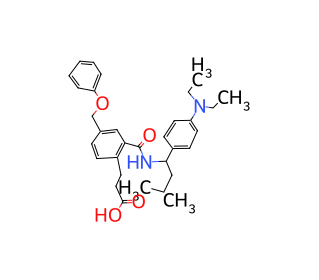 CCN(CC)c1ccc(C(CC(C)C)NC(=O)c2cc(COc3ccccc3)ccc2CCC(=O)O)cc1